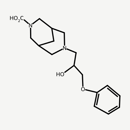 O=C(O)N1CC2CC(CN(CC(O)COc3ccccc3)C2)C1